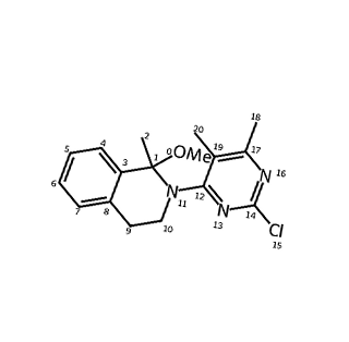 COC1(C)c2ccccc2CCN1c1nc(Cl)nc(C)c1C